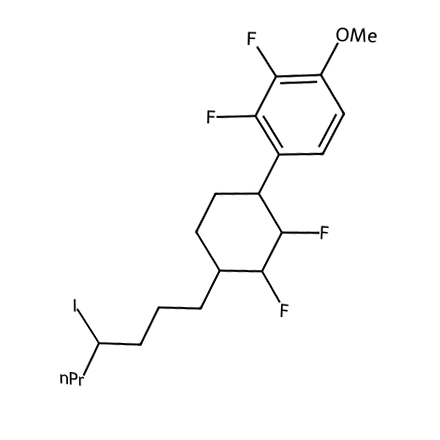 CCCC(I)CCCC1CCC(c2ccc(OC)c(F)c2F)C(F)C1F